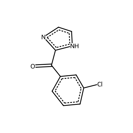 O=C(c1cccc(Cl)c1)c1ncc[nH]1